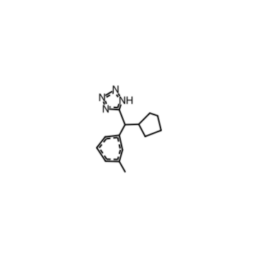 Cc1cccc(C(c2nnn[nH]2)C2CCCC2)c1